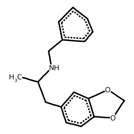 CC(Cc1ccc2c(c1)OCO2)NCc1ccccc1